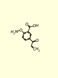 C=CC(=O)c1ccc(ON)c(C(=O)O)c1